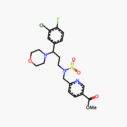 COC(=O)c1ccc(CN(CCC(c2ccc(F)c(Cl)c2)N2CCOCC2)[SH](=O)=O)nc1